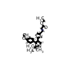 CCOC(=O)/C=C/c1csc(-c2cnn(C(C)(C)C)c2-c2ccc(OC)cc2)n1